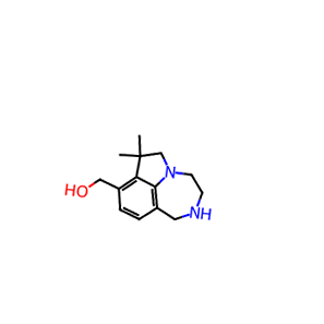 CC1(C)CN2CCNCc3ccc(CO)c1c32